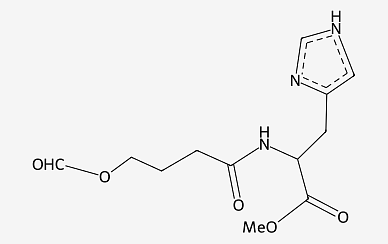 COC(=O)C(Cc1c[nH]cn1)NC(=O)CCCOC=O